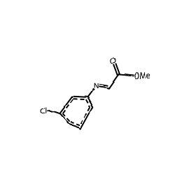 COC(=O)C=Nc1cccc(Cl)c1